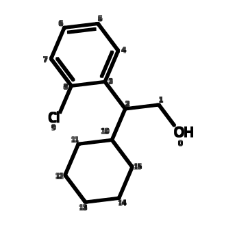 OCC(c1ccccc1Cl)C1CCCCC1